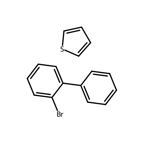 Brc1ccccc1-c1ccccc1.c1ccsc1